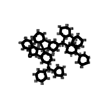 c1ccc(-c2ccc(N(c3ccc4c(c3)-c3ccccc3C43c4ccc(N(c5ccccc5)c5ccccc5)cc4-c4oc5ccccc5c43)c3ccccc3-c3ccccc3)cc2)cc1